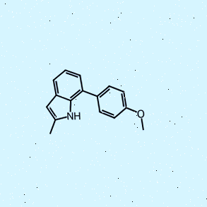 COc1ccc(-c2cccc3cc(C)[nH]c23)cc1